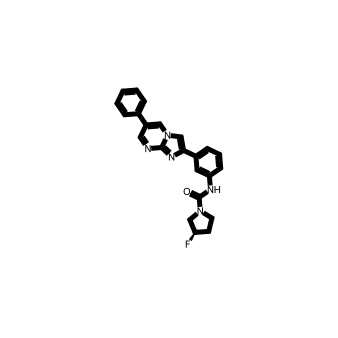 O=C(Nc1cccc(-c2cn3cc(-c4ccccc4)cnc3n2)c1)N1CC[C@@H](F)C1